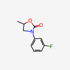 CC1CN(c2cccc(F)c2)C(=O)O1